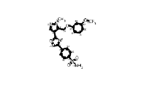 Cn1ncc(-c2nc(-c3ccc(S(N)(=O)=O)cc3)no2)c1COc1cccc(OC(F)(F)F)c1